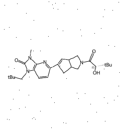 Cn1c(=O)n(CC(C)(C)C)c2ccc(C3=CC4CN(C(=O)[C@@H](O)C(C)(C)C)CC4C3)nc21